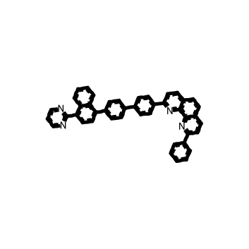 c1ccc(-c2ccc3ccc4ccc(-c5ccc(-c6ccc(-c7ccc(-c8ncccn8)c8ccccc78)cc6)cc5)nc4c3n2)cc1